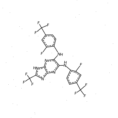 Fc1cc(C(F)(F)F)ccc1Nc1nc2nc(C(F)(F)F)[nH]c2nc1Nc1ccc(C(F)(F)F)cc1F